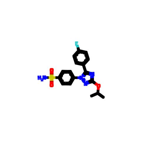 CC(C)Oc1nc(-c2ccc(F)cc2)n(-c2ccc(S(N)(=O)=O)cc2)n1